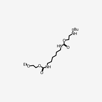 CCCCNCCOC(=O)NCCCCCCNC(=O)OCCOCC